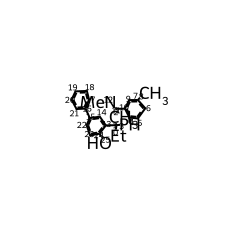 CCC(C)(Pc1ccc(C)cc1CNC)c1cc(-c2ccccc2)ccc1O